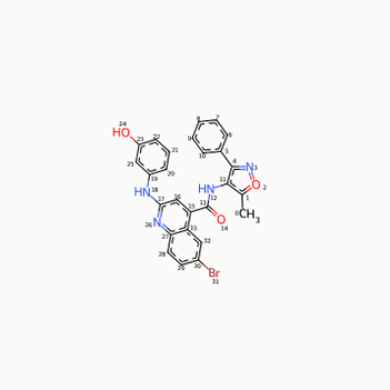 Cc1onc(-c2ccccc2)c1NC(=O)c1cc(Nc2cccc(O)c2)nc2ccc(Br)cc12